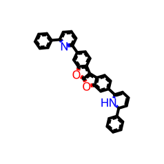 C1=CC(c2ccccc2)NC(c2ccc3c(c2)oc2oc4cc(-c5cccc(-c6ccccc6)n5)ccc4c23)=C1